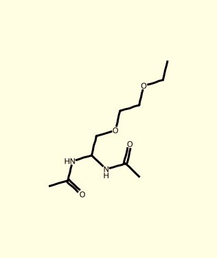 CCOCCOCC(NC(C)=O)NC(C)=O